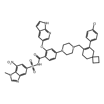 Cn1cnc2cc(S(=O)(=O)NC(=O)c3ccc(N4CCN(CC5=C(c6ccc(Cl)cc6)CC6(CCC6)CC5)CC4)cc3Oc3cnc4[nH]ccc4c3)cc([N+](=O)[O-])c21